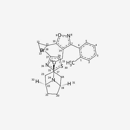 Cc1ccccc1-c1noc(C2CC2)c1CO[C@H]1C[C@H]2CC[C@@H](C1)N2c1nc(Br)cs1